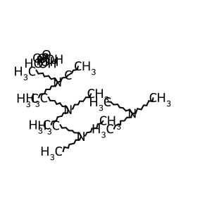 CCCCCCCCN(CCCCCCCC)CCCCCCCC.CCCCCCCCN(CCCCCCCC)CCCCCCCC.CCCCCCCCN(CCCCCCCC)CCCCCCCC.CCCCCCCCN(CCCCCCCC)CCCCCCCC.O=P(O)(O)OP(=O)(O)O